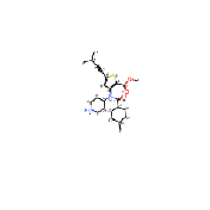 COC(=O)c1sc(C#CC(C)C)cc1N(C(=O)C1CCC(C)CC1)C1CCNCC1